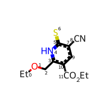 CCOCc1[nH]c(=S)c(C#N)cc1C(=O)OCC